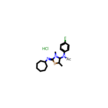 CC(=O)N(c1ccc(F)cc1)C1C(C)SC(=NC2CCCCCC2)N1C.Cl